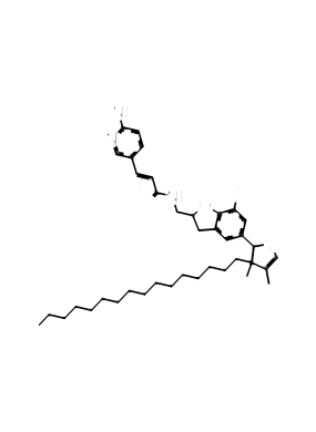 CCCCCCCCCCCCCCCCC1(C)C(C)=CSC1c1cc(Cl)c2c(c1)CC(CNC(=O)/C=C/c1ccc(N)nc1)O2